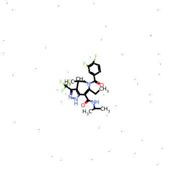 CCC1=C(C(=O)NC(C)C)c2[nH]nc(C(F)(F)F)c2C(C)(C)CN1C(=O)c1ccc(F)c(F)c1